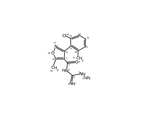 CCCNC(=N)NC(=O)c1c(-c2c(C)cccc2Cl)noc1C